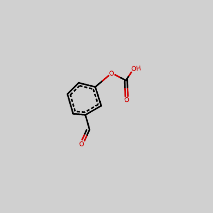 O=Cc1cccc(OC(=O)O)c1